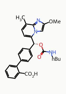 CCCCNC(=O)O[C@H](c1ccc(-c2ccccc2C(=O)O)cc1)c1ccc(C)c2nc(OC)cn12